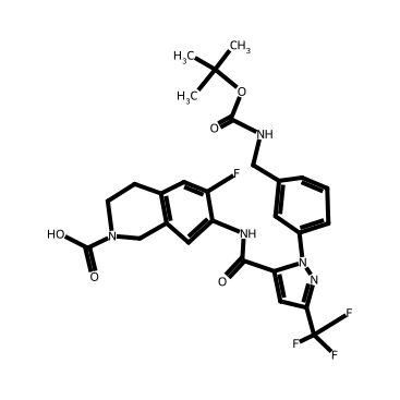 CC(C)(C)OC(=O)NCc1cccc(-n2nc(C(F)(F)F)cc2C(=O)Nc2cc3c(cc2F)CCN(C(=O)O)C3)c1